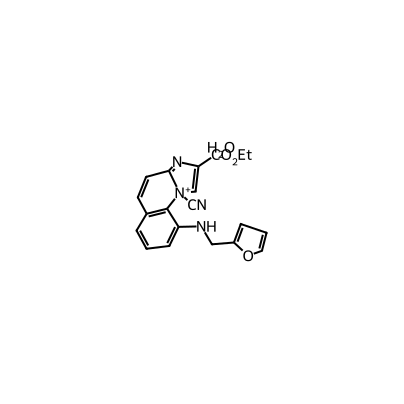 CCOC(=O)C1=C[N+]2(C#N)C(=N1)C=Cc1cccc(NCc3ccco3)c12.O